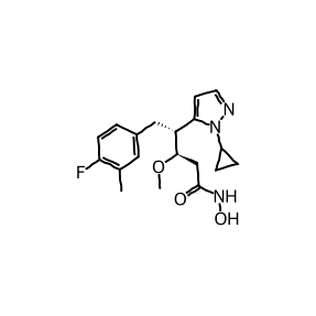 CO[C@H](CC(=O)NO)[C@H](Cc1ccc(F)c(C)c1)c1ccnn1C1CC1